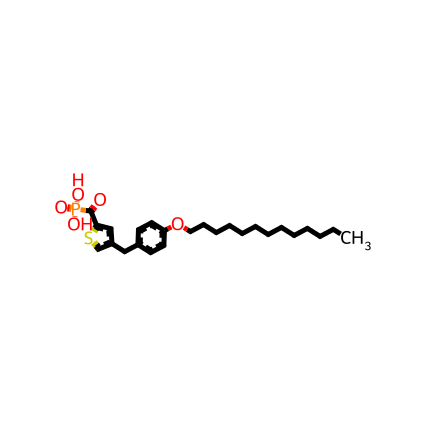 CCCCCCCCCCCCCOc1ccc(Cc2csc(C(=O)P(=O)(O)O)c2)cc1